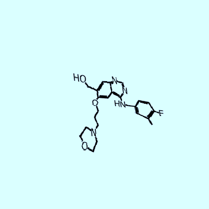 Cc1cc(Nc2ncnc3cc(CO)c(OCCCN4CCOCC4)cc23)ccc1F